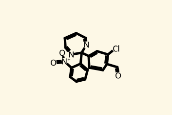 O=Cc1ccc(C2(c3ccccc3[N+](=O)[O-])N=CC=CC=N2)cc1Cl